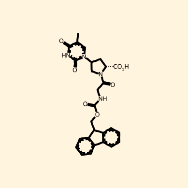 Cc1cn(C2C[C@H](C(=O)O)N(C(=O)CNC(=O)OCC3c4ccccc4-c4ccccc43)C2)c(=O)[nH]c1=O